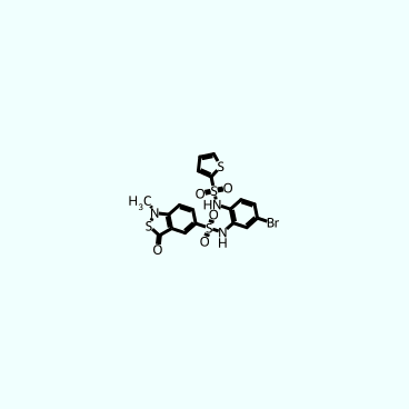 Cn1sc(=O)c2cc(S(=O)(=O)Nc3cc(Br)ccc3NS(=O)(=O)c3cccs3)ccc21